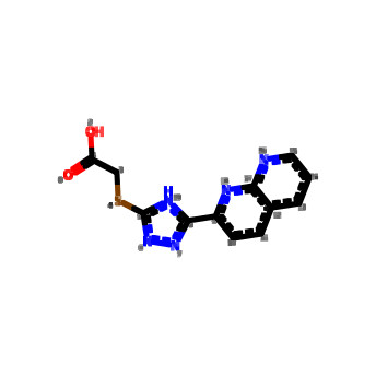 O=C(O)CSc1nnc(-c2ccc3cccnc3n2)[nH]1